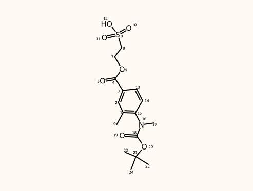 Cc1cc(C(=O)OCCS(=O)(=O)O)ccc1N(C)C(=O)OC(C)(C)C